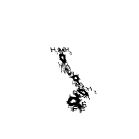 Cc1ccc(NC(=O)c2cccc(C(F)(F)F)c2)cc1NC(=O)c1ccc2nc(NC(=O)Nc3ccc(N(C)C)cc3)sc2c1